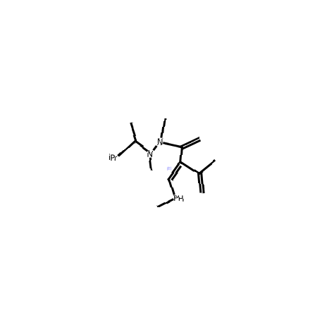 C=C(C)/C(=C\PC)C(=C)N(C)N(C)C(C)C(C)C